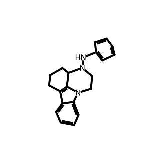 c1ccc(NN2CCn3c4c(c5ccccc53)CCCC42)cc1